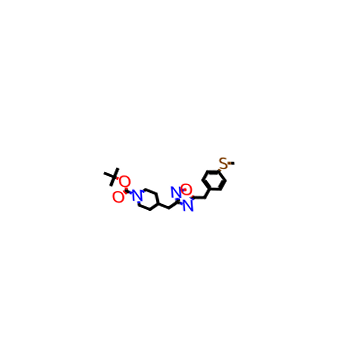 CSc1ccc(Cc2nc(CC3CCN(C(=O)OC(C)(C)C)CC3)no2)cc1